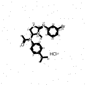 CC(=O)N(c1ccc(C(C)C)cc1)C1CSC(=Nc2cccc(Br)c2)N1C.Cl